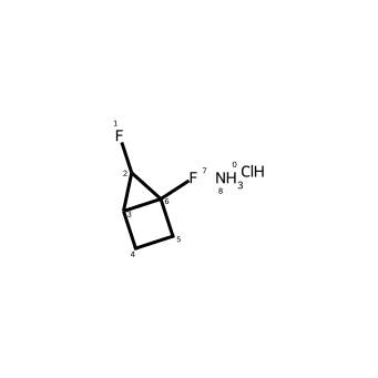 Cl.FC1C2CCC12F.N